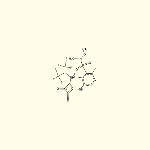 CON(C)S(=O)(=O)c1c(Cl)ccc(Nc2c(NC(C(F)(F)F)C(F)(F)F)c(=O)c2=O)c1O